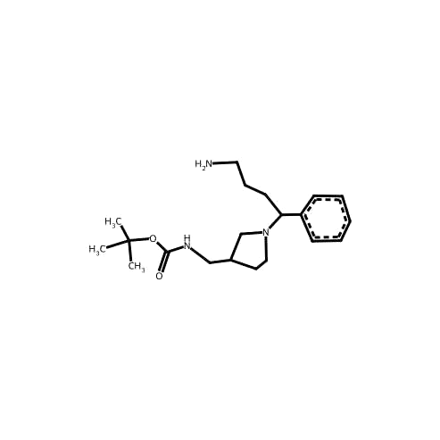 CC(C)(C)OC(=O)NCC1CCN(C(CCCN)c2ccccc2)C1